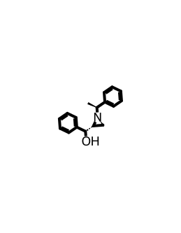 C[C@@H](c1ccccc1)[N@@]1C[C@@H]1C(O)c1ccccc1